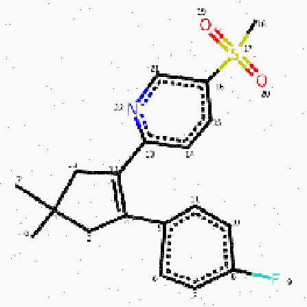 CC1(C)CC(c2ccc(F)cc2)=C(c2ccc(S(C)(=O)=O)cn2)C1